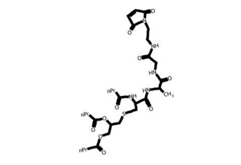 CCCC(=O)NC(CSCC(COC(=O)CCC)OC(=O)CCC)C(=O)NC(C)C(=O)NCC(=O)NCCN1C(=O)C=CC1=O